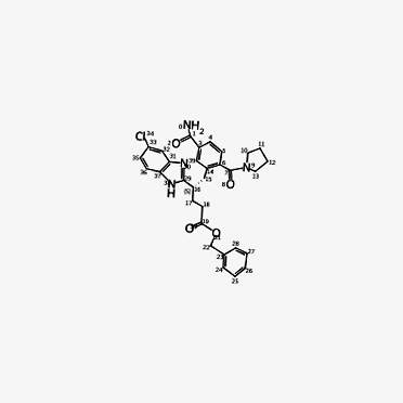 NC(=O)c1ccc(C(=O)N2CCCC2)c(C[C@H](CCC(=O)OCc2ccccc2)c2nc3cc(Cl)ccc3[nH]2)c1